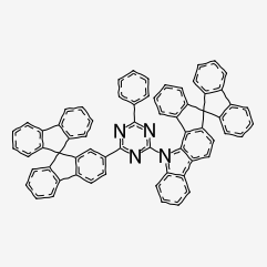 c1ccc(-c2nc(-c3ccc4c(c3)C3(c5ccccc5-c5ccccc53)c3ccccc3-4)nc(-n3c4ccccc4c4ccc5c(c43)-c3ccccc3C53c4ccccc4-c4ccccc43)n2)cc1